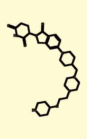 O=C1CCC(N2Cc3cc(N4CCC(CN5CCN(CCOC6CCNCC6)CC5)CC4)ccc3C2=O)C(=O)N1